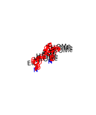 C#CCC1=C(C)[C@@H](OC(=O)C2C(C=C(C)C)C2(C)C)CC1=O.CC[C@H]1CCC[C@H](O[C@H]2CC[C@H](N(C)C)[C@@H](C)O2)[C@@H](C)C(=O)C2=C[C@@H]3[C@@H](C=C(C)[C@@H]4C[C@@H](O[C@@H]5O[C@@H](C)[C@H](OC)[C@@H](OC)[C@H]5OC)C[C@@H]34)[C@@H]2CC(=O)O1.CC[C@H]1CCC[C@H](O[C@H]2CC[C@H](N(C)C)[C@@H](C)O2)[C@@H](C)C(=O)C2=C[C@@H]3[C@@H](C=C[C@@H]4C[C@@H](O[C@@H]5O[C@@H](C)[C@H](OC)[C@@H](OC)[C@H]5OC)C[C@@H]34)[C@@H]2CC(=O)O1